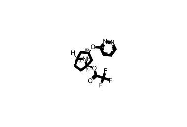 O=C(O[C@]12CC[C@@H](C[C@H](Oc3cccnn3)C1)N2)C(F)(F)F